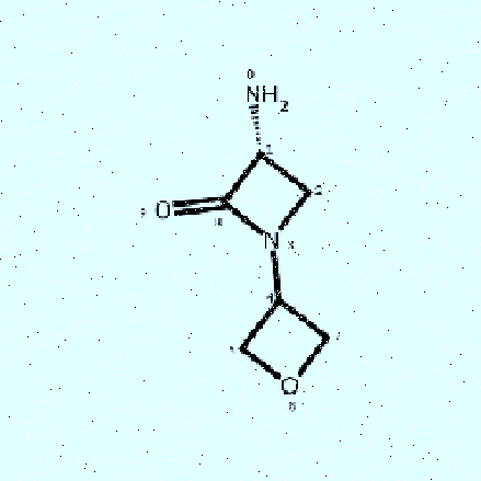 N[C@@H]1CN(C2COC2)C1=O